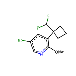 COc1ncc(Br)cc1C1(C(F)F)CCC1